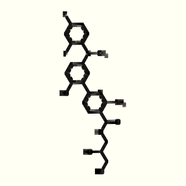 CN(c1ccc(O)c(-c2ccc(C(=O)NCC(O)CO)c(N)n2)c1)c1ccc(F)cc1F